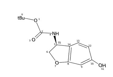 CC(C)(C)OC(=O)N[C@@H]1COc2cc(O)ccc21